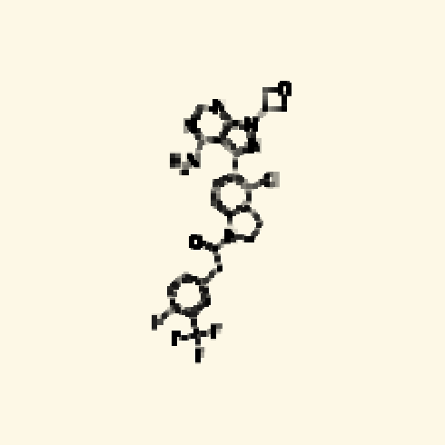 Nc1ncnc2c1c(-c1ccc3c(c1Cl)CCN3C(=O)Cc1ccc(F)c(C(F)(F)F)c1)nn2C1COC1